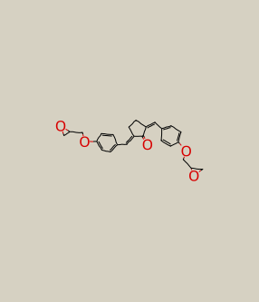 O=C1/C(=C\c2ccc(OCC3CO3)cc2)CC/C1=C\c1ccc(OCC2CO2)cc1